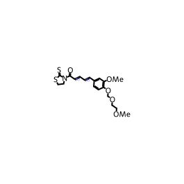 COCCOCOc1ccc(/C=C/C=C/C(=O)N2CCSC2=S)cc1OC